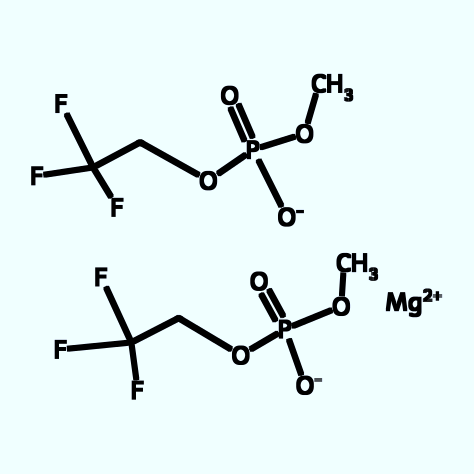 COP(=O)([O-])OCC(F)(F)F.COP(=O)([O-])OCC(F)(F)F.[Mg+2]